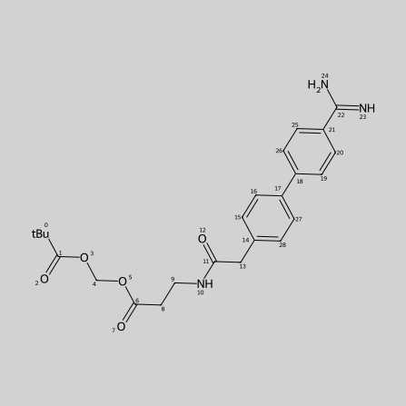 CC(C)(C)C(=O)OCOC(=O)CCNC(=O)Cc1ccc(-c2ccc(C(=N)N)cc2)cc1